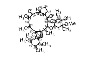 CO[C@]1(C)C[C@H](O[C@H]2[C@H](C)[C@@H](O[C@@H]3O[C@H](C)C[C@H](C)[C@H]3C)[C@](C)(O)C[C@@H](C)CN(C)C(=O)C[C@@H]3CCCN3C(=O)[C@@H]2C)O[C@@H](C)[C@@H]1O